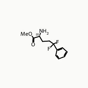 COC(=O)[C@@H](N)CCC(F)(F)c1ccccc1